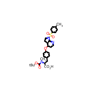 Cc1ccc(S(=O)(=O)n2ccc3c(Oc4ccc(CC(C(=O)O)N(C)C(=O)OC(C)(C)C)cc4)ccnc32)cc1